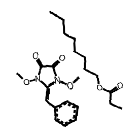 CCCCCCCCOC(=O)CC.CON1C(=O)C(=O)N(OC)C1=Cc1ccccc1